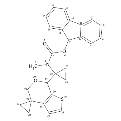 CN(C(=O)OC1c2ccccc2-c2ccccc21)C1(C2OCC3(CC3)c3ccsc32)CC1